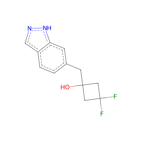 OC1(Cc2ccc3cn[nH]c3c2)CC(F)(F)C1